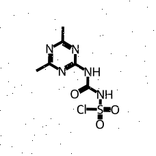 Cc1nc(C)nc(NC(=O)NS(=O)(=O)Cl)n1